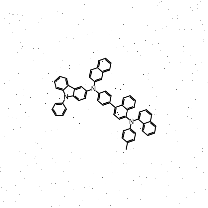 Cc1ccc(N(c2cccc3ccccc23)c2ccc(-c3ccc(N(c4ccc5ccccc5c4)c4ccc5c(c4)c4ccccc4n5-c4ccccc4)cc3)c3ccccc23)cc1